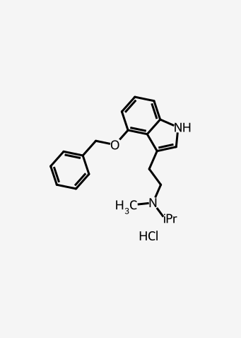 CC(C)N(C)CCc1c[nH]c2cccc(OCc3ccccc3)c12.Cl